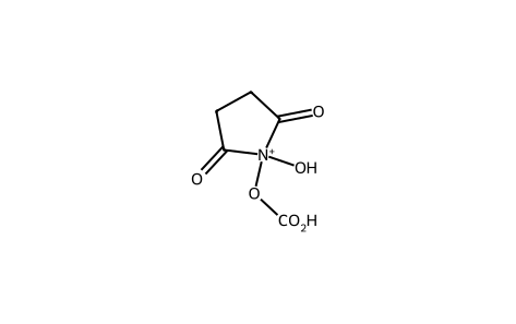 O=C(O)O[N+]1(O)C(=O)CCC1=O